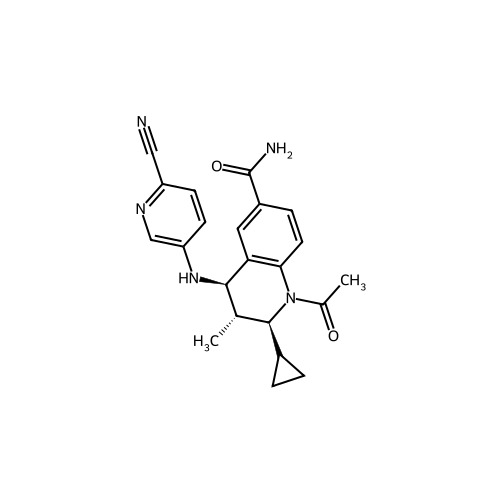 CC(=O)N1c2ccc(C(N)=O)cc2[C@H](Nc2ccc(C#N)nc2)[C@@H](C)[C@@H]1C1CC1